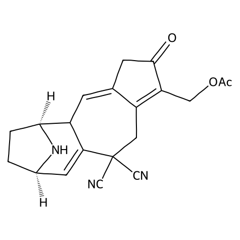 CC(=O)OCC1=C2CC(C#N)(C#N)C3=C[C@H]4CC[C@H](N4)C3C=C2CC1=O